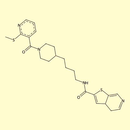 CSc1ncccc1C(=O)N1CCC(CCCCNC(=O)C2=CC3CC=NC=C3S2)CC1